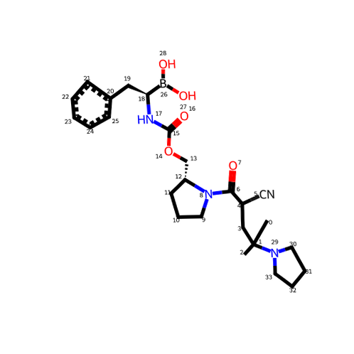 CC(C)(CC(C#N)C(=O)N1CCC[C@@H]1COC(=O)N[C@@H](Cc1ccccc1)B(O)O)N1CCCC1